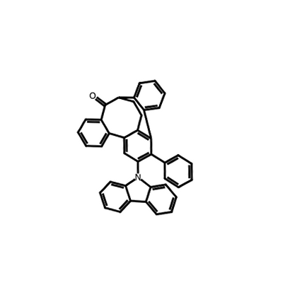 O=C1c2ccccc2-c2cc(-n3c4ccccc4c4ccccc43)c(-c3ccccc3)c3c2CCC1c1ccccc1-3